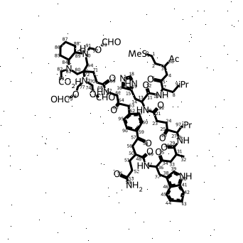 CSCCC(CC(=O)C(CC(C)C)NC(=O)C(Cc1cnc[nH]1)NC(=O)CCC(=O)C(NC(=O)C(C)CC(=O)C(Cc1c[nH]c2ccccc12)NC(=O)C(CCC(N)=O)CC(=O)c1ccc(CC(=O)CNC(=O)CCC2(N(COC=O)COC=O)CN(CC(=O)O)C3CCCC[C@H]3N(COC=O)C2)cc1)C(C)C)C(C)=O